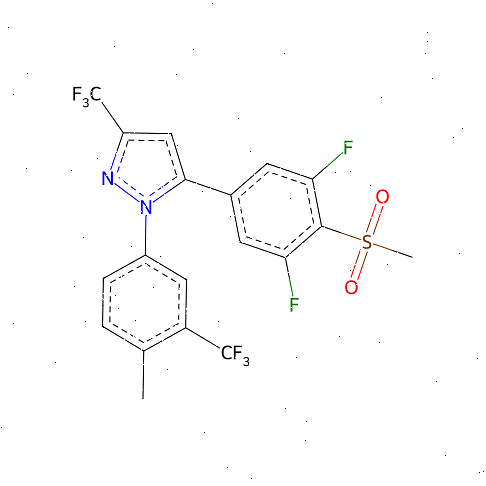 Cc1ccc(-n2nc(C(F)(F)F)cc2-c2cc(F)c(S(C)(=O)=O)c(F)c2)cc1C(F)(F)F